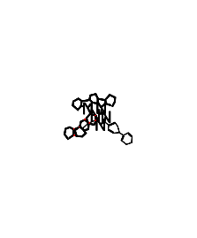 C1=CC(C2C=CC(c3nc(-c4ccc(-c5ccccc5)cc4)nc(-n4c5ccccc5c5ccc6c7ccccc7n(-c7cccc(-c8ccccc8)c7)c6c54)n3)=CC2)=CCC1